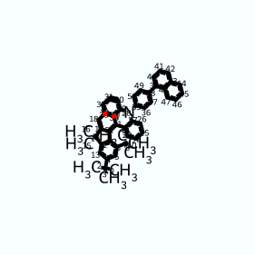 CC(C)(C)c1cc(C(C)(C)C)c2c(c1)C(C)(C)C1=CCCC(c3ccccc3N(c3c#cccc3)c3ccc(-c4cccc5ccccc45)cc3)=C12